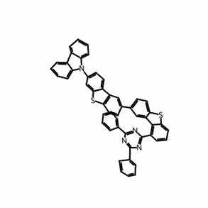 c1ccc(-c2nc(-c3ccccc3)nc(-c3cccc4sc5ccc(-c6ccc7sc8cc(-n9c%10ccccc%10c%10ccccc%109)ccc8c7c6)cc5c34)n2)cc1